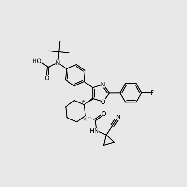 CC(C)(C)N(C(=O)O)c1ccc(-c2nc(-c3ccc(F)cc3)oc2[C@@H]2CCCC[C@H]2C(=O)NC2(C#N)CC2)cc1